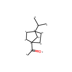 CC(=O)C12CCC(C(C)C)(CC1)C2